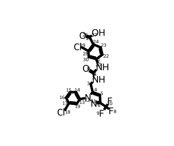 O=C(NCc1cc(C(F)(F)F)nn1-c1cccc(Cl)c1)Nc1ccc(C(=O)O)c(Cl)c1